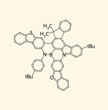 CC(C)(C)c1ccc(N2B3c4cc5oc6ccccc6c5cc4-n4c5ccc(C(C)(C)C)cc5c5c6c(c(c3c54)-c3cc4sc5ccccc5c4cc32)C(C)(C)c2ccccc2-6)cc1